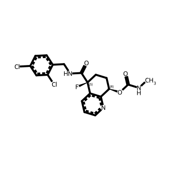 CNC(=O)O[C@@H]1CC[C@@](F)(C(=O)NCc2ccc(Cl)cc2Cl)c2cccnc21